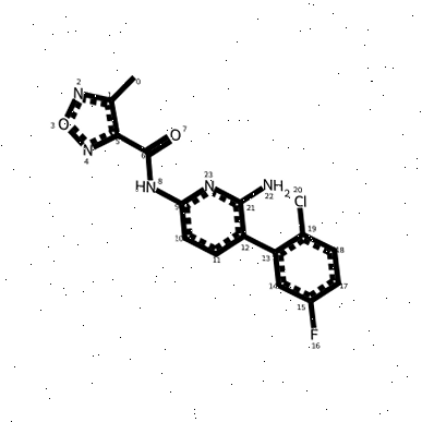 Cc1nonc1C(=O)Nc1ccc(-c2cc(F)ccc2Cl)c(N)n1